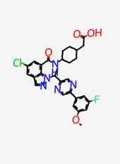 COc1cc(F)cc(-c2cnc(C(C)n3ncc4cc(Cl)cc(C(=O)NC5CCC(CC(=O)O)CC5)c43)cn2)c1